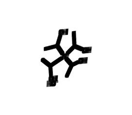 CC(O)[N+](C(C)O)(C(C)O)C(C)O.[OH-]